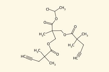 C#CCC(C)(C)C(=O)OCC(C)(COC(=O)C(C)(C)CC#C)C(=O)OC(C)Cl